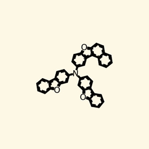 c1ccc2c(c1)ccc1oc3ccc(N(c4ccc5c(c4)oc4ccccc45)c4ccc5c(c4)oc4ccccc45)cc3c12